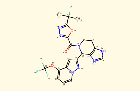 CC(C)(F)c1nnc(C(=O)N2CCc3[nH]cnc3C2c2cc3c(OC(F)(F)F)cccn3n2)o1